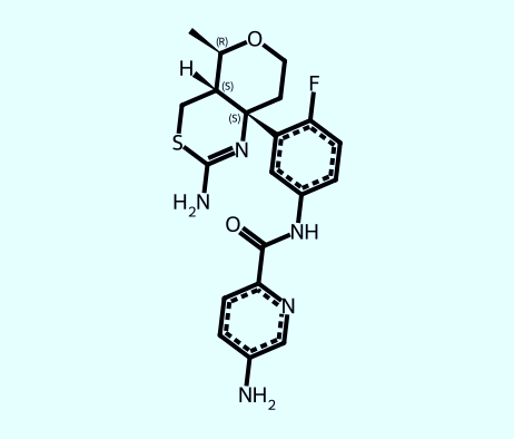 C[C@H]1OCC[C@]2(c3cc(NC(=O)c4ccc(N)cn4)ccc3F)N=C(N)SC[C@H]12